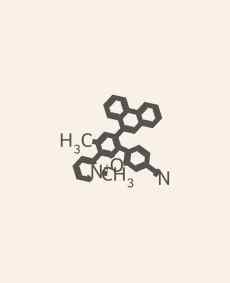 Cc1cc(-c2cc3ccccc3c3ccccc23)c2c(oc3cc(C#N)ccc32)c1-c1cccc[n+]1C